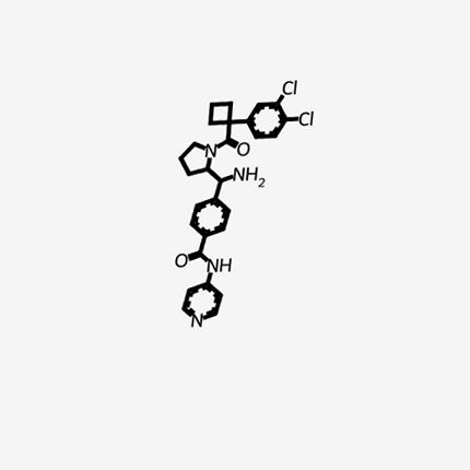 NC(c1ccc(C(=O)Nc2ccncc2)cc1)C1CCCN1C(=O)C1(c2ccc(Cl)c(Cl)c2)CCC1